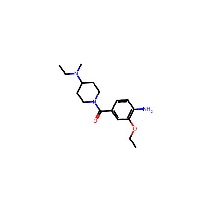 CCOc1cc(C(=O)N2CCC(N(C)CC)CC2)ccc1N